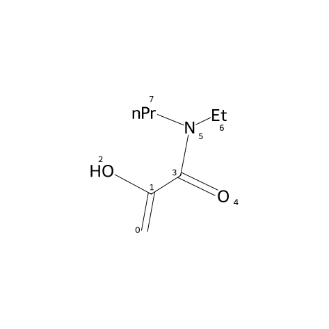 C=C(O)C(=O)N(CC)CCC